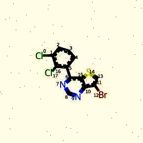 Clc1cccc(-c2ncnc3c(Br)csc23)c1Cl